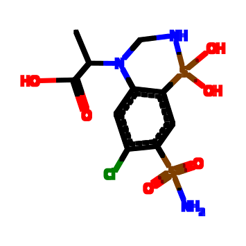 CC(C(=O)O)N1CNS(O)(O)c2cc(S(N)(=O)=O)c(Cl)cc21